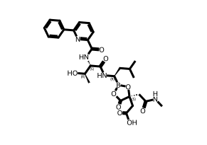 CNC(=O)C[C@@]1(CC(=O)O)OB([C@H](CC(C)C)NC(=O)[C@@H](NC(=O)c2cccc(-c3ccccc3)n2)[C@@H](C)O)OC1=O